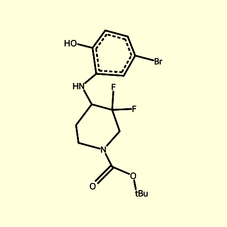 CC(C)(C)OC(=O)N1CCC(Nc2cc(Br)ccc2O)C(F)(F)C1